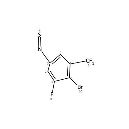 Fc1cc(N=S)cc(C(F)(F)F)c1Br